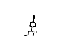 C#Cc1ccc(C(CCC)NC)cc1